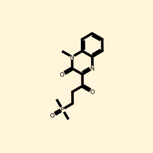 Cn1c(=O)c(C(=O)CCP(C)(C)=O)nc2ccccc21